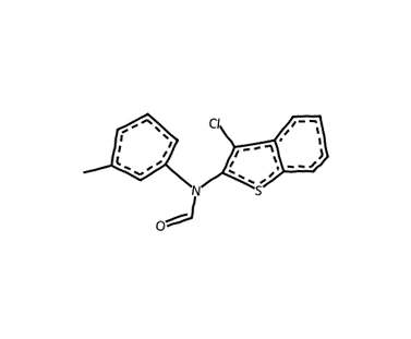 Cc1cccc(N(C=O)c2sc3ccccc3c2Cl)c1